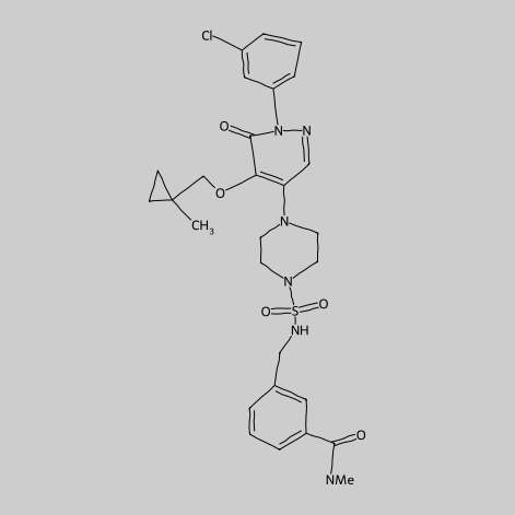 CNC(=O)c1cccc(CNS(=O)(=O)N2CCN(c3cnn(-c4cccc(Cl)c4)c(=O)c3OCC3(C)CC3)CC2)c1